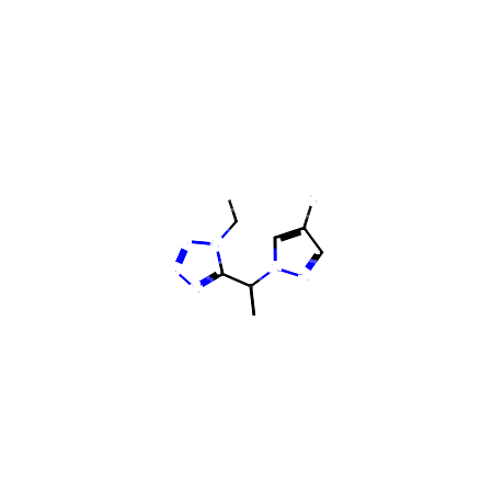 CC(c1nnnn1CC(F)(F)F)n1cc([N+](=O)[O-])cn1